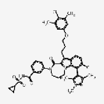 Cc1cc(OCCCc2c3n(c4c(-c5c(C)nn(C)c5C)c(Cl)ccc24)CCCN(c2cccc(C(=O)NS(=O)(=O)C4CC4)c2)C3=O)cc(C)c1Cl